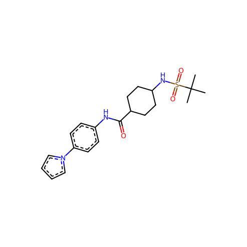 CC(C)(C)S(=O)(=O)NC1CCC(C(=O)Nc2ccc(-n3cccc3)cc2)CC1